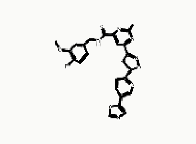 COc1cc(CNC(=O)c2cc(C3=NOC(c4ccc(-c5cnco5)cn4)C3)nc(C)n2)ccc1F